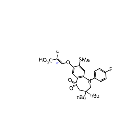 CCCCC1(CCCC)CN(c2ccc(F)cc2)c2cc(SC)c(O/C=C(\F)C(=O)O)cc2S(=O)(=O)C1